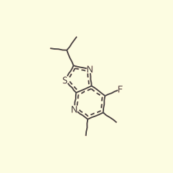 Cc1nc2sc(C(C)C)nc2c(F)c1C